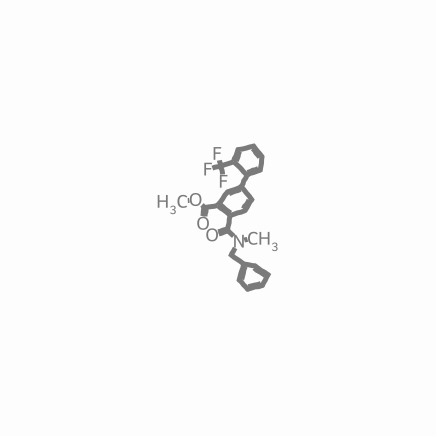 COC(=O)c1cc(-c2ccccc2C(F)(F)F)ccc1C(=O)N(C)Cc1ccccc1